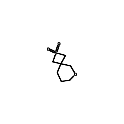 O=S1(=O)CC2(CCCOC2)C1